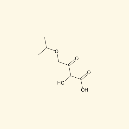 CC(C)OCC(=O)C(O)C(=O)O